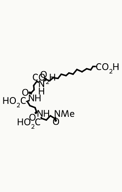 CNC(=O)CC[C@H](NC(=O)CC[C@H](NC(=O)CC[C@H](NC(=O)CCCCCCCCCCCCC(=O)O)C(=O)O)C(=O)O)C(=O)O